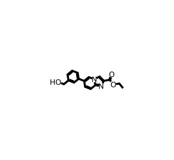 CCOC(=O)c1cn2cc(-c3cccc(CO)c3)ccc2n1